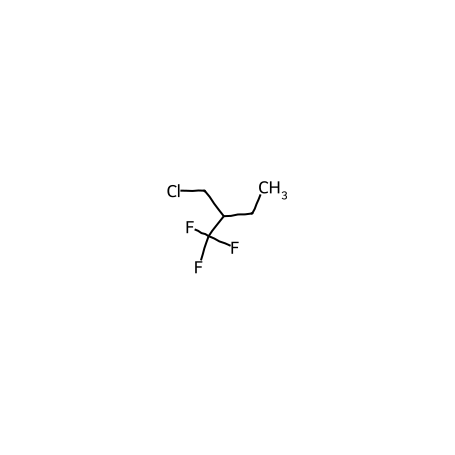 CCC(CCl)C(F)(F)F